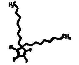 CCCCCCCCCC1(CCCCCCCCC)C(F)=C(F)C(F)=C1F